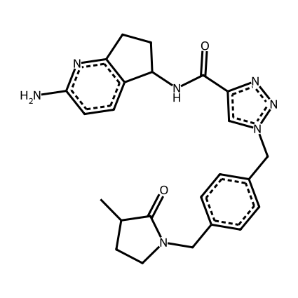 CC1CCN(Cc2ccc(Cn3cc(C(=O)NC4CCc5nc(N)ccc54)nn3)cc2)C1=O